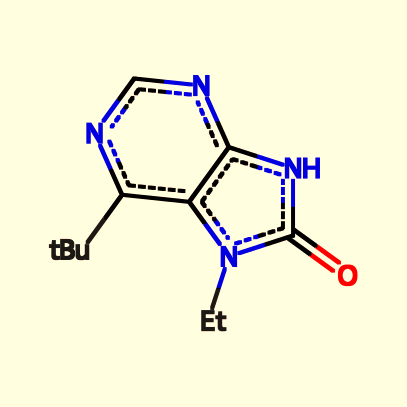 CCn1c(=O)[nH]c2ncnc(C(C)(C)C)c21